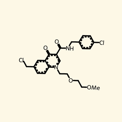 COCCOCCn1cc(C(=O)NCc2ccc(Cl)cc2)c(=O)c2cc(CCl)ccc21